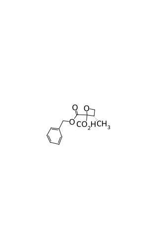 C[C@H]1COC1(C(=O)O)C(=O)OCc1ccccc1